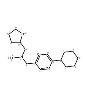 CN(Cc1ccc(C2C[CH]CCC2)cc1)CC1CCCO1